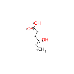 CC[C@@H](O)CCC(=O)O